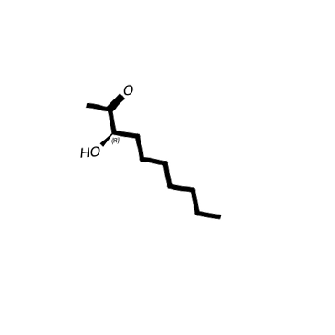 CCCCCCC[C@@H](O)C(C)=O